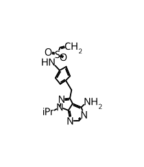 C=CS(=O)(=O)Nc1ccc(Cc2nn(C(C)C)c3ncnc(N)c23)cc1